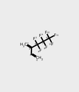 C=CC(=C)C(F)(F)C(F)(F)C(F)(F)F